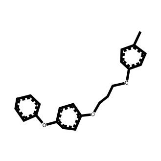 Cc1ccc(OCCCOc2ccc(Oc3ccccc3)cc2)cc1